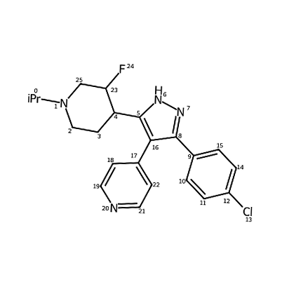 CC(C)N1CCC(c2[nH]nc(-c3ccc(Cl)cc3)c2-c2ccncc2)C(F)C1